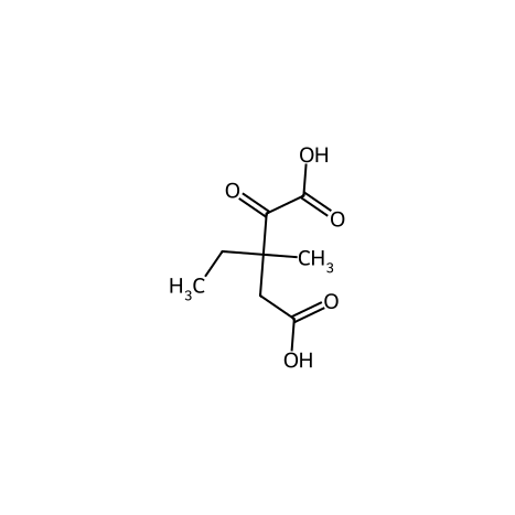 CCC(C)(CC(=O)O)C(=O)C(=O)O